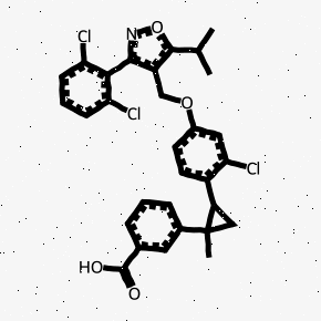 CC(C)c1onc(-c2c(Cl)cccc2Cl)c1COc1ccc(C2CC2(C)c2cccc(C(=O)O)c2)c(Cl)c1